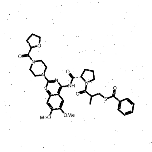 COc1cc2nc(N3CCN(C(=O)C4CCCO4)CC3)nc(NC(=O)[C@@H]3CCCN3C(=O)C(C)CSC(=O)c3ccccc3)c2cc1OC